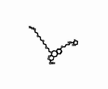 COC(=O)C[C@@H]1Cc2ccc(OCCCNC3=NCCN3)cc2CN(CCOCCOCCOCCN=[N+]=[N-])C1=O